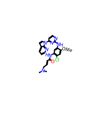 COc1cc(Cl)c(NC(=O)/C=C/CN(C)C)cc1Nc1nccc(-n2ccc3cccnc32)n1